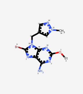 CCOc1nc(N)c2nc(Br)n(Cc3cnn(C)c3)c2n1